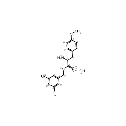 COc1ccc(C[C@H](N)C(=O)OCc2cc(Cl)nc(Cl)c2)cn1.Cl.Cl